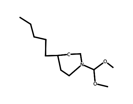 CCCCCC1CCN(C(OC)OC)CC1